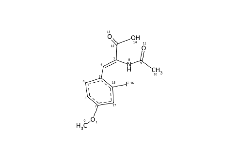 COc1ccc(C=C(NC(C)=O)C(=O)O)c(F)c1